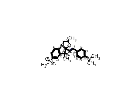 CC1CN2c3ccc(S(C)(=O)=O)cc3C(C)(C)C2(/C=C/c2ccc(N(C)C)cc2)O1